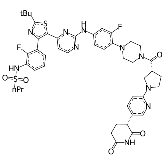 CCCS(=O)(=O)Nc1cccc(-c2nc(C(C)(C)C)sc2-c2ccnc(Nc3ccc(N4CCN(C(=O)[C@@H]5CCN(c6ccc([C@H]7CCC(=O)NC7=O)cn6)C5)CC4)c(F)c3)n2)c1F